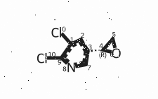 Clc1cc([C@@H]2CO2)cnc1Cl